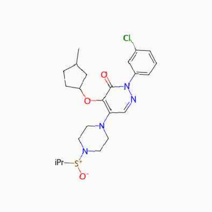 CC1CCC(Oc2c(N3CCN([S+]([O-])C(C)C)CC3)cnn(-c3cccc(Cl)c3)c2=O)C1